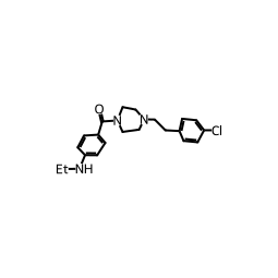 CCNc1ccc(C(=O)N2CCN(CCc3ccc(Cl)cc3)CC2)cc1